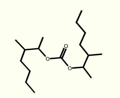 CCCCC(C)C(C)OC(=O)OC(C)C(C)CCCC